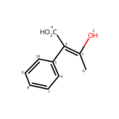 C/C(O)=C(/C(=O)O)c1ccccc1